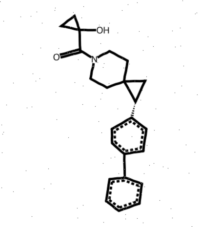 O=C(N1CCC2(CC1)C[C@@H]2c1ccc(-c2ccccc2)cc1)C1(O)CC1